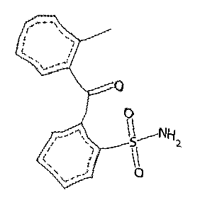 Cc1ccccc1C(=O)c1ccccc1S(N)(=O)=O